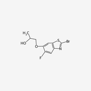 CC(O)COc1cc2sc(Br)nc2cc1F